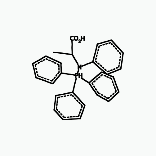 CC(C(=O)O)N(c1ccccc1)[PH](c1ccccc1)(c1ccccc1)c1ccccc1